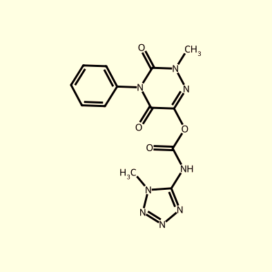 Cn1nnnc1NC(=O)Oc1nn(C)c(=O)n(-c2ccccc2)c1=O